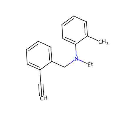 C#Cc1ccccc1CN(CC)c1ccccc1C